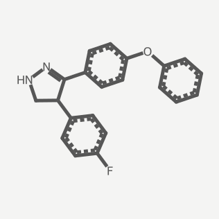 Fc1ccc(C2CNN=C2c2ccc(Oc3ccccc3)cc2)cc1